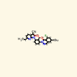 C=Cc1ccc2c(C#N)cn(-c3cccc(-n4ncc5cc(C(C)(C)C)cc(F)c5c4=O)c3CO)c2n1